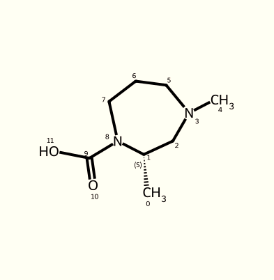 C[C@H]1CN(C)CCCN1C(=O)O